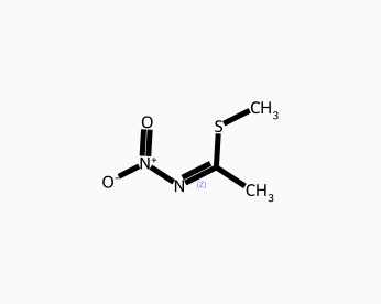 CS/C(C)=N\[N+](=O)[O-]